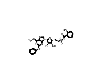 COc1nc(Nc2ccccc2)nc2c1ncn2[C@@H]1O[C@H](COS(=O)(=O)NC(=O)c2ccccc2O)[C@@H](O)[C@H]1O